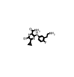 CCc1nc(C(N)=O)c(Nc2ccc(F)c(CCN)c2)nc1C1CC1